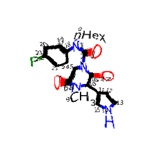 CCCCCCN(C(=O)N1CC(=O)N(C)C(c2cc[nH]c2)C1=O)C1=CCC(F)=CC1